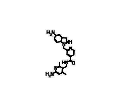 Cc1cc(N)nc(C)c1CNC(=O)c1ccnc(CN2NCC3C=C(N)C=CC32)c1